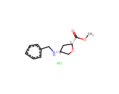 COC(=O)[C@H]1C[C@@H](NCc2ccccc2)CO1.Cl